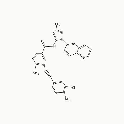 Cc1ccc(C(=O)Nc2cc(C(F)(F)F)nn2-c2ccc3ncccc3c2)cc1C#Cc1cnc(N)c(Cl)c1